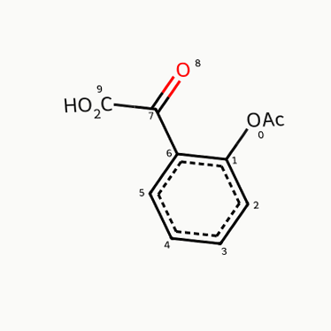 CC(=O)Oc1ccccc1C(=O)C(=O)O